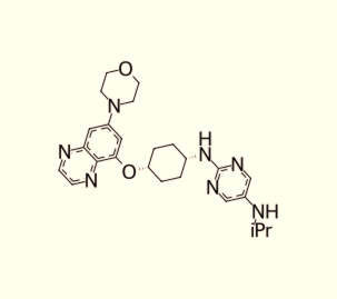 CC(C)Nc1cnc(N[C@H]2CC[C@@H](Oc3cc(N4CCOCC4)cc4nccnc34)CC2)nc1